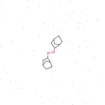 C1CC2CC1CC2OOC1CC2CCC1C2